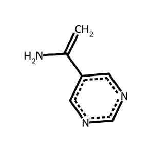 C=C(N)c1cncnc1